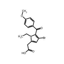 CCn1c(CC(=O)O)cc(Br)c1C(=O)c1ccc(OC)cc1